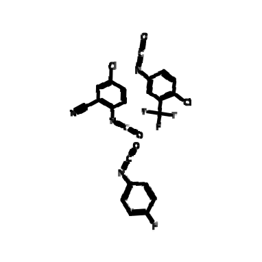 N#Cc1cc(Cl)ccc1N=C=O.O=C=Nc1ccc(Cl)c(C(F)(F)F)c1.O=C=Nc1ccc(F)cc1